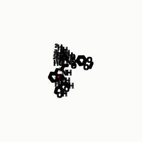 [2H]C([2H])([2H])C([2H])(C([2H])([2H])[2H])C([2H])([2H])N(C[C@@H](O)[C@H](Cc1ccccc1)NC(=O)O[C@]1([2H])[C@@H]2CCO[C@@H]2OC1([2H])[2H])S(=O)(=O)c1ccc2c(c1)OCCO2